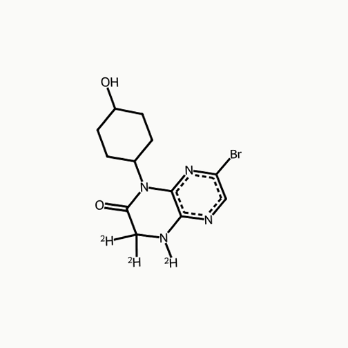 [2H]N1c2ncc(Br)nc2N(C2CCC(O)CC2)C(=O)C1([2H])[2H]